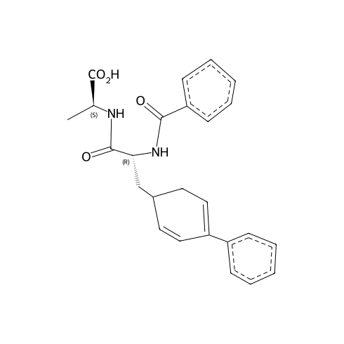 C[C@H](NC(=O)[C@@H](CC1C=CC(c2ccccc2)=CC1)NC(=O)c1ccccc1)C(=O)O